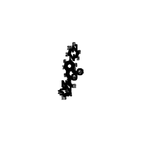 CN1CCN(c2ccc3cc(-c4cn5ccsc5n4)oc(=O)c3c2)CC1